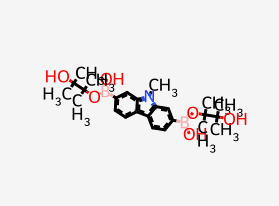 Cn1c2cc(B(O)OC(C)(C)C(C)(C)O)ccc2c2ccc(B(O)OC(C)(C)C(C)(C)O)cc21